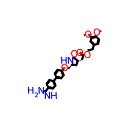 COc1ccc(CCOC(=O)C[C@@H]2C[C@@H](COc3ccc(-c4ccc(C(=N)N)cc4)cc3)NC2=O)cc1OC